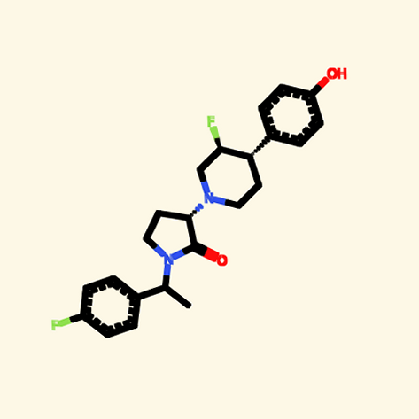 CC(c1ccc(F)cc1)N1CC[C@H](N2CC[C@@H](c3ccc(O)cc3)[C@H](F)C2)C1=O